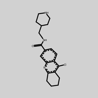 O=C(NCC1CCNCC1)c1ccc2c(Cl)c3c(nc2c1)CCCC3